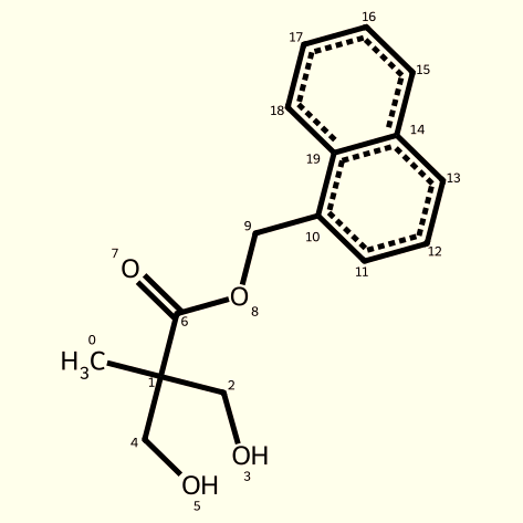 CC(CO)(CO)C(=O)OCc1cccc2ccccc12